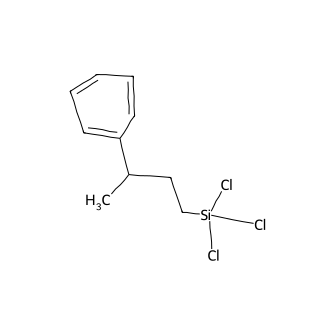 CC(CC[Si](Cl)(Cl)Cl)c1ccccc1